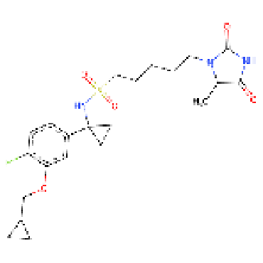 CC1C(=O)NC(=O)N1CCCCCS(=O)(=O)NC1(c2ccc(F)c(OCC3CC3)c2)CC1